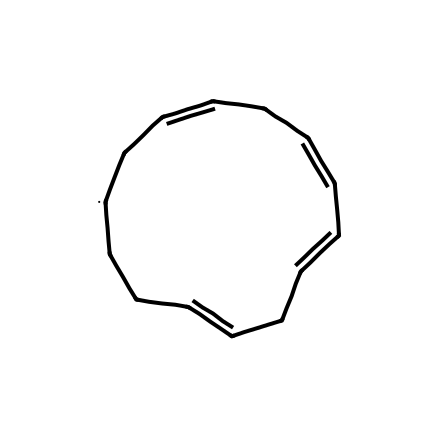 [CH]1C/C=C\C/C=C\C=C\C/C=C/CC1